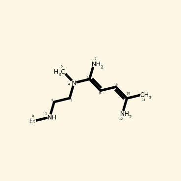 CCNCCN(C)/C(N)=C/C=C(/C)N